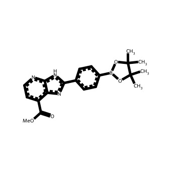 COC(=O)c1ccnc2[nH]c(-c3ccc(B4OC(C)(C)C(C)(C)O4)cc3)nc12